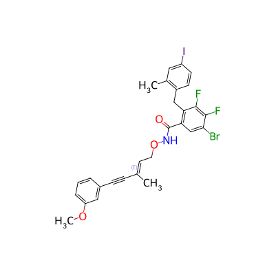 COc1cccc(C#C/C(C)=C/CONC(=O)c2cc(Br)c(F)c(F)c2Cc2ccc(I)cc2C)c1